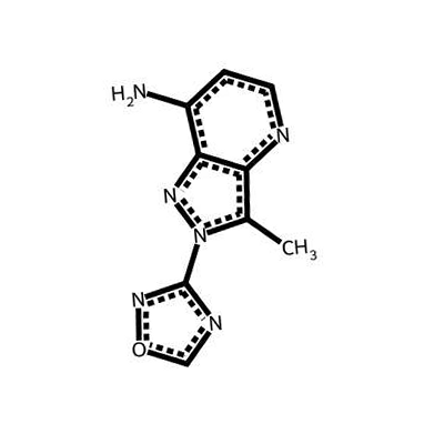 Cc1c2nccc(N)c2nn1-c1ncon1